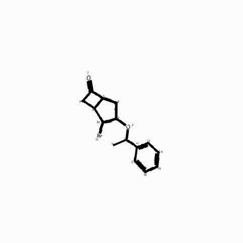 CC(OC1CC2C(=O)CC2C1Br)c1ccccc1